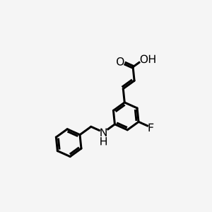 O=C(O)/C=C/c1cc(F)cc(NCc2ccccc2)c1